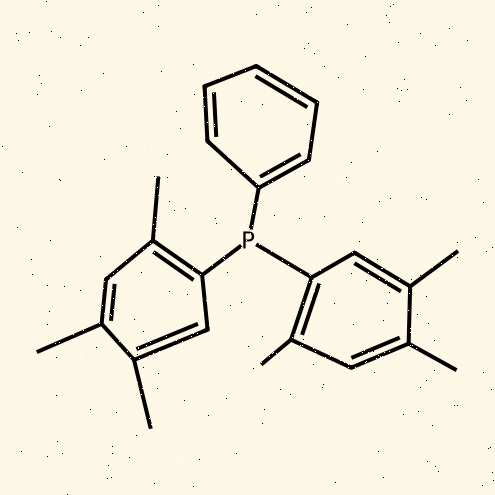 Cc1cc(C)c(P(c2ccccc2)c2cc(C)c(C)cc2C)cc1C